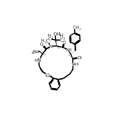 CCC(C)[C@@H]1NCCOc2ccccc2CCCNC(=O)[C@@H](Cc2ccc(C)cc2)NC(=O)[C@H](C(C)(C)O)N(C)C1=O